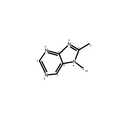 Cc1nc2ncncc2n1I